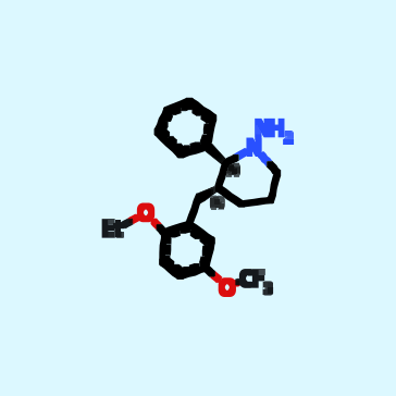 CCOc1ccc(OC(F)(F)F)cc1C[C@@H]1CCCN(N)[C@@H]1c1ccccc1